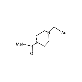 CNC(=O)N1CCN(CC(C)=O)CC1